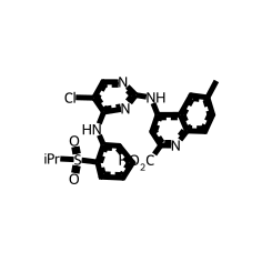 Cc1ccc2nc(C(=O)O)cc(Nc3ncc(Cl)c(Nc4ccccc4S(=O)(=O)C(C)C)n3)c2c1